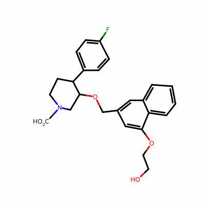 O=C(O)N1CCC(c2ccc(F)cc2)C(OCc2cc(OCCO)c3ccccc3c2)C1